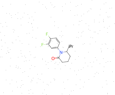 CC(C)C1CCCC(=O)N1c1ccc(F)c(F)c1